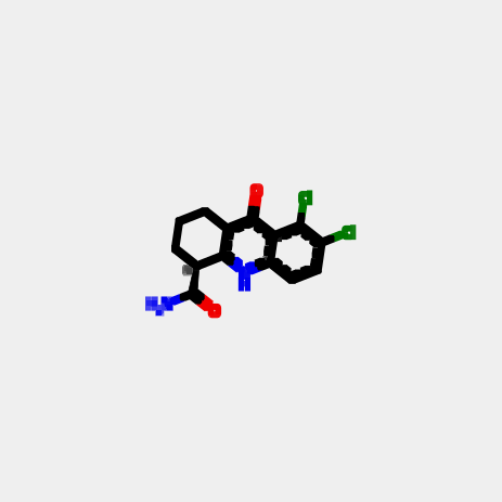 NC(=O)[C@H]1CCCc2c1[nH]c1ccc(Cl)c(Cl)c1c2=O